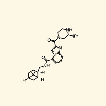 CC(C)[C@H]1CN(C(=O)c2cn3c(C(=O)NC[C@@H]4CC[C@H]5C[C@H]4C5(C)C)cccc3n2)CCN1